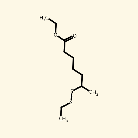 CCOC(=O)CCCCC(C)SSCC